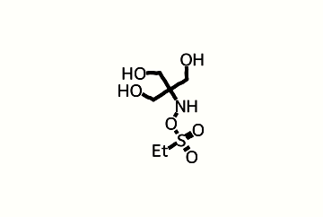 CCS(=O)(=O)ONC(CO)(CO)CO